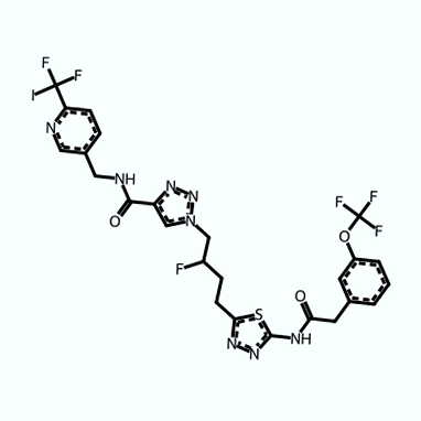 O=C(Cc1cccc(OC(F)(F)F)c1)Nc1nnc(CCC(F)Cn2cc(C(=O)NCc3ccc(C(F)(F)I)nc3)nn2)s1